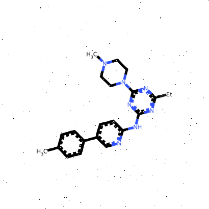 CCc1nc(Nc2ccc(-c3ccc(C)cc3)cn2)nc(N2CCN(C)CC2)n1